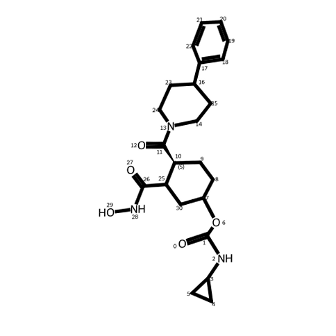 O=C(NC1CC1)OC1CC[C@H](C(=O)N2CCC(c3ccccc3)CC2)C(C(=O)NO)C1